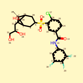 C[C@H]1CC2CC(S(=O)(=O)c3cc(C(=O)Nc4cc(F)c(F)c(F)c4)ccc3Cl)CC1[C@@]2(O)CC(O)CO